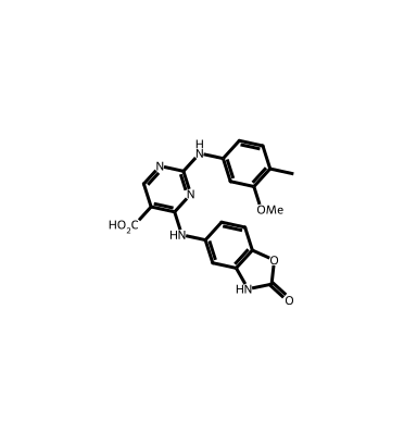 COc1cc(Nc2ncc(C(=O)O)c(Nc3ccc4oc(=O)[nH]c4c3)n2)ccc1C